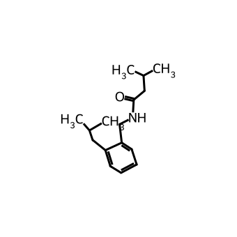 CC(C)CC(=O)NCc1ccccc1CC(C)C